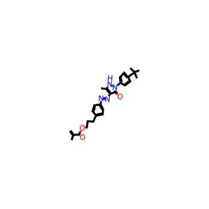 C=C(C)C(=O)OCCCc1ccc(N=Nc2c(C)[nH]n(-c3ccc(C(C)(C)C)cc3)c2=O)cc1